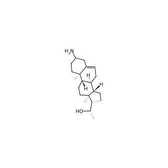 C[C@H](O)[C@H]1CC[C@H]2[C@@H]3CC=C4CC(N)CC[C@]4(C)[C@H]3CC[C@]12C